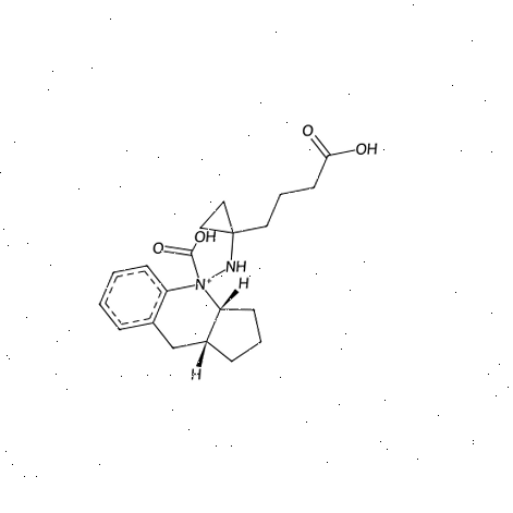 O=C(O)CCCC1(N[N+]2(C(=O)O)c3ccccc3C[C@H]3CCC[C@H]32)CC1